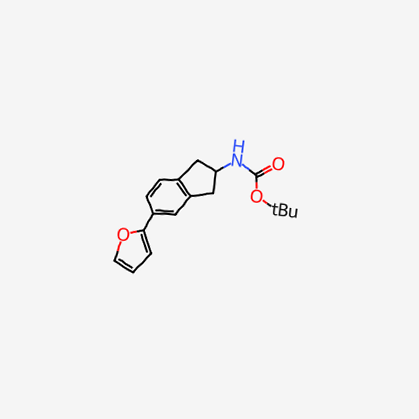 CC(C)(C)OC(=O)NC1Cc2ccc(-c3ccco3)cc2C1